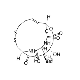 CCC(C)[C@H]1NC(=O)[C@H]2CSSCC/C=C/[C@H](CC(=O)N[C@H](C)C(=O)N2)OC(=O)C[C@@H]1O